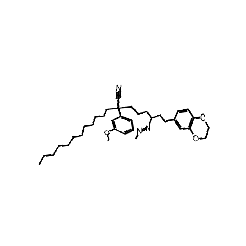 CCCCCCCCCCCCC(C#N)(CCCC(CCc1ccc2c(c1)OCCO2)N=NC)c1cccc(OC)c1